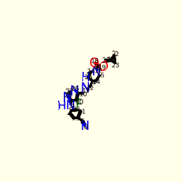 N#Cc1ccc(Nc2cc(CNCC3CCN(C(=O)OCC4CC4)CC3)ncn2)c(F)c1